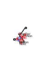 CCCCCCCCCCC[C@H](CC(=O)NC1C(OC[C@@H](NC(=O)C[C@@H](CCCCCCCCCCC)OC(=O)CCCCCCCCC)C(=O)OCc2ccccc2)OC(CO[Si](C)(C)C(C)(C)C)C(O)C1OC(=O)C[C@@H](CCCCCCCCCCC)OC(=O)CCCCCCCCC)OC(=O)CCCCCCCCc1ccccc1